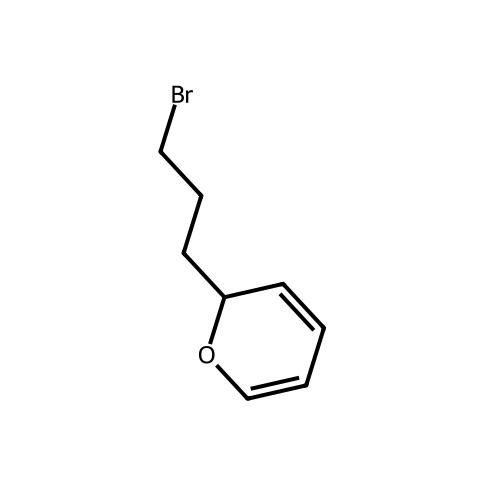 BrCCCC1C=CC=CO1